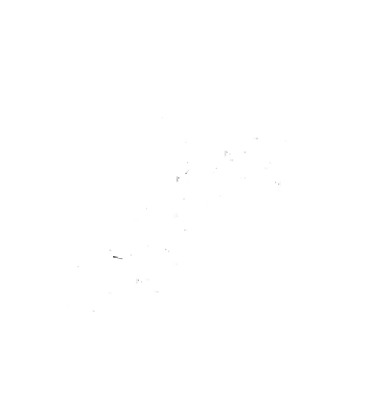 CC[C@H](C)[C@H](NC(=O)C(=O)C(C)NC(=O)[C@H](Cc1ccccc1)NC(C)=O)C(=O)NC(C)(C)C(N)=O